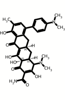 Cc1cc(-c2ccc(N(C)C)cc2)c2c(c1O)C(=O)C1=C(O)[C@]3(O)C(=O)C(C(N)=O)=C(O)C(N(C)C)[C@@H]3C[C@@H]1C2